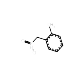 Cc1ccccc1C[PH](=O)Cl